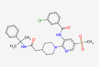 CC(C)(NC(=O)CC1CCN(c2ncc(S(C)(=O)=O)cc2NC(=O)c2cccc(Cl)c2)CC1)c1ccccc1